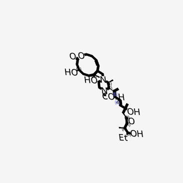 CC[C@H](O)[C@@H](C)[C@H]1O[C@@H]1CC(C)(O)/C=C/C=C(\C)[C@H]1[C@H](C)N(CC2C=CCCOC(=O)C[C@H](O)CC[C@@]2(C)O)CCN1C(=O)O